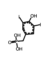 O=P(O)(O)Cc1cc(I)c(O)c(I)c1